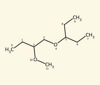 CCC(COC(CC)CC)OC